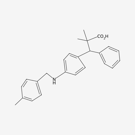 Cc1ccc(CNc2ccc(C(c3ccccc3)C(C)(C)C(=O)O)cc2)cc1